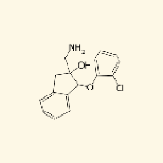 NCC1(O)Cc2ccccc2C1Oc1ccccc1Cl